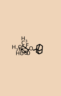 CC(C)C(F)(C(=O)OCC12CC3CC(CC(C3)C1)C2)S(=O)(=O)O